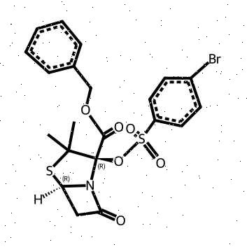 CC1(C)S[C@@H]2CC(=O)N2[C@@]1(OS(=O)(=O)c1ccc(Br)cc1)C(=O)OCc1ccccc1